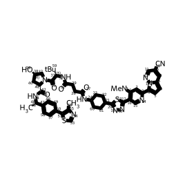 CNc1cc(-c2ccc3cc(C#N)cnn23)ncc1-c1nnc(C2CCC(NC(=O)CCC(=O)N[C@H](C(=O)N3C[C@H](O)C[C@H]3C(=O)N[C@@H](C)c3ccc(-c4scnc4C)cc3)C(C)(C)C)CC2)s1